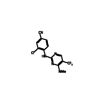 CNc1nc(Nc2ccc(C#N)cc2Cl)ncc1C(F)(F)F